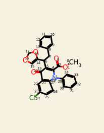 COC(=O)c1c(C(Cc2ccccc2)C2=COCO2)c(=O)c2cc(Cl)ccc2n1-c1ccccc1